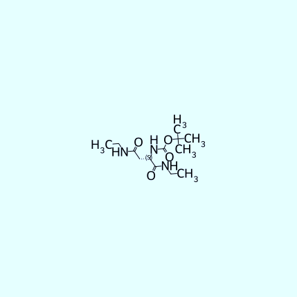 CCNC(=O)C[C@H](NC(=O)OC(C)(C)C)C(=O)NCC